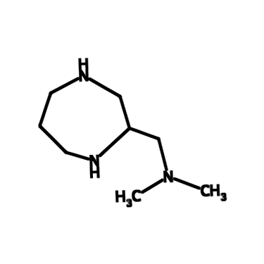 CN(C)CC1CNCCCN1